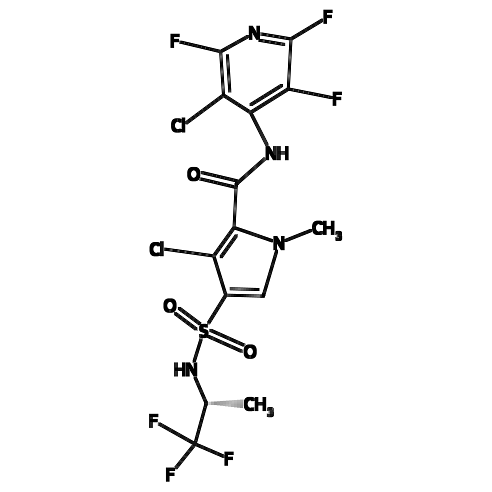 C[C@@H](NS(=O)(=O)c1cn(C)c(C(=O)Nc2c(F)c(F)nc(F)c2Cl)c1Cl)C(F)(F)F